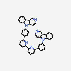 C1=CC2C(C=N1)c1ccccc1N2c1ccc(-c2cccc(-c3cccc(-c4cccc(-n5c6ccccc6c6cnccc65)c4)n3)n2)cc1